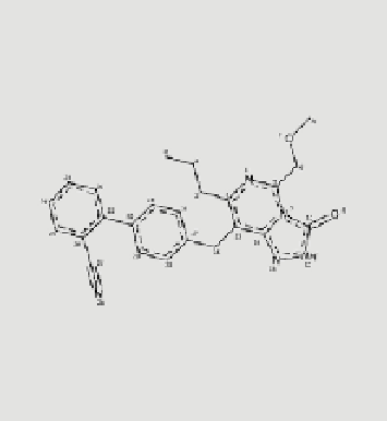 CCCc1nc(COC)n2c(=O)[nH]nc2c1Cc1ccc(-c2ccccc2C#N)cc1